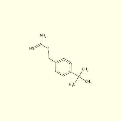 CC(C)(C)c1ccc(CSC(=N)N)cc1